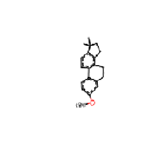 CC(C)(C)Oc1ccc2c(c1)CCc1c-2ccc2c1CCC2(C)C